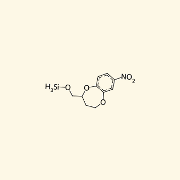 O=[N+]([O-])c1ccc2c(c1)OCCC(CO[SiH3])O2